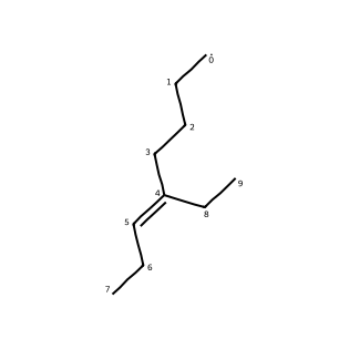 [CH2]CCC/C(=C/CC)CC